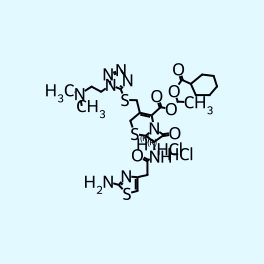 CC(OC(=O)C1=C(CSc2nnnn2CCN(C)C)CS[C@@H]2[C@H](NC(=O)Cc3csc(N)n3)C(=O)N12)OC(=O)C1CCCCC1.Cl.Cl